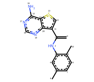 C=C(Nc1cc(C)ccc1C)c1csc2c(N)ncnc12